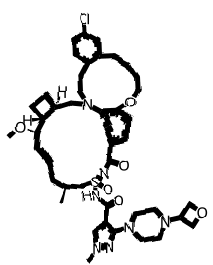 CO[C@H]1/C=C/C[C@H](C)CS(=O)(NC(=O)c2cn(C)nc2N2CCN(C3COC3)CC2)=NC(=O)c2ccc3c(c2)N(CCc2ccc(Cl)cc2CCCCO3)C[C@@H]2CC[C@H]21